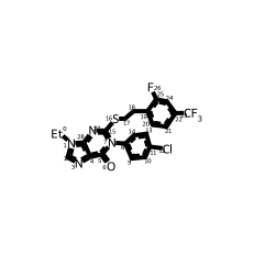 CCn1cnc2c(=O)n(-c3ccc(Cl)cc3)c(SCCc3ccc(C(F)(F)F)cc3F)nc21